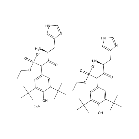 CCOP(=O)([O-])C(C(=O)[C@@H](N)Cc1c[nH]cn1)c1cc(C(C)(C)C)c(O)c(C(C)(C)C)c1.CCOP(=O)([O-])C(C(=O)[C@@H](N)Cc1c[nH]cn1)c1cc(C(C)(C)C)c(O)c(C(C)(C)C)c1.[Ca+2]